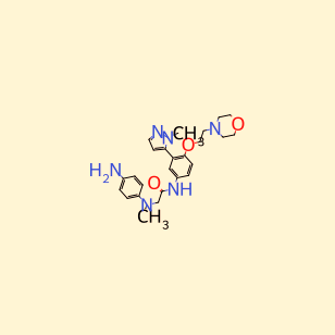 CN(CC(=O)Nc1ccc(OCCN2CCOCC2)c(-c2ccnn2C)c1)c1ccc(N)cc1